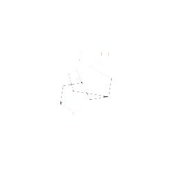 CC1C2CC3(C)C(O2)C1CS3(=O)=O